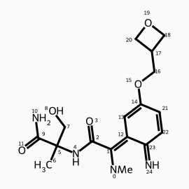 CN/C(C(=O)NC(C)(CO)C(N)=O)=C1/C=C(OCC2COC2)C=CC1=N